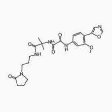 COc1cc(NC(=O)C(=O)NC(C)(C)C(=O)NCCCN2CCCC2=O)ccc1-c1cnco1